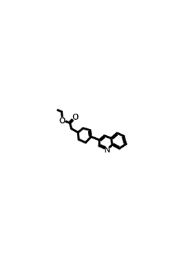 CCOC(=O)CC1CC=C(c2cnc3ccccc3c2)CC1